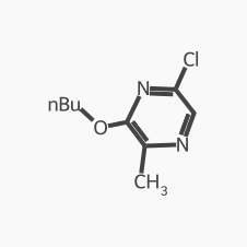 CCCCOc1nc(Cl)cnc1C